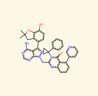 CC1(C)Cc2c(-c3nn(Cc4nc5cccc(-c6cccnc6)c5c(=O)n4C4(c5ccccc5)CC4)c4ncnc(N)c34)ccc(O)c2O1